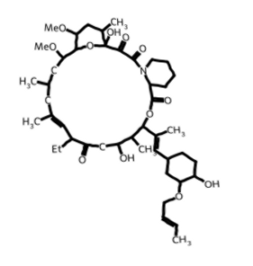 C/C=C/COC1CC(C=C(C)C2OC(=O)C3CCCCN3C(=O)C(=O)C3(O)OC(C(OC)CC(C)C/C(C)=C/C(CC)C(=O)CC(O)C2C)C(OC)CC3C)CCC1O